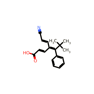 CC(C)(C)C(=C(C=CC#N)C=CC(=O)O)c1ccccc1